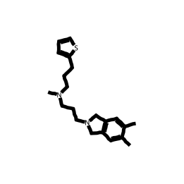 Cc1cc2c(cc1C)CN(CCCN(C)CCCc1cccs1)C2